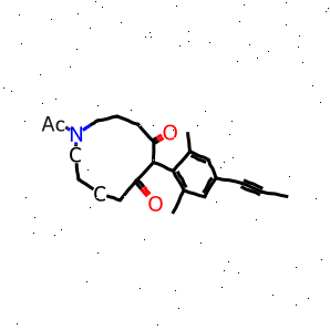 CC#Cc1cc(C)c(C2C(=O)CCCCN(C(C)=O)CCCC2=O)c(C)c1